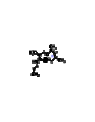 C=CCNC(=O)C(=C)COP(C)/C=C(/C)CC(C)C